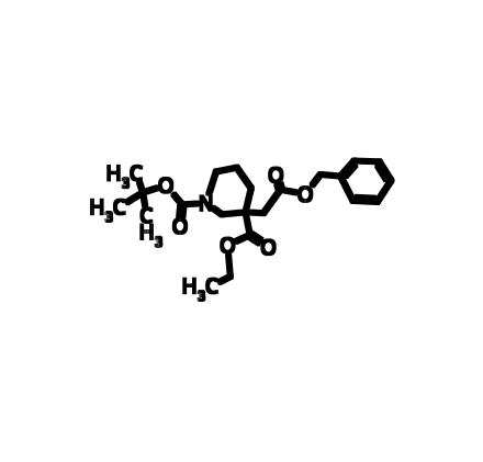 CCOC(=O)C1(CC(=O)OCc2ccccc2)CCCN(C(=O)OC(C)(C)C)C1